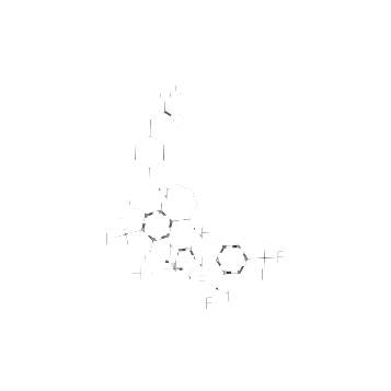 COC(=O)CC1CCC(CN2CCCC(N(Cc3cc(C(F)(F)F)cc(C(F)(F)F)c3)c3nnn(C)n3)c3cc(C)c(C(F)(F)F)c(C)c32)CC1